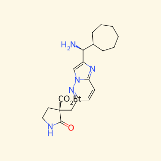 CCOC(=O)[C@]1(Cc2ccc3nc([C@@H](N)C4CCCCCC4)cn3n2)CCNC1=O